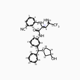 N#Cc1cccc(N/C(=C\C(=N)C(F)(F)F)C(=O)Nc2cccc(C(c3ccccc3)N3CCC(O)C3)c2)c1